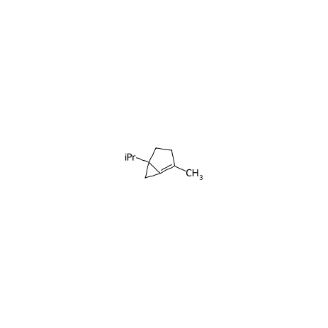 CC1=C2CC2(C(C)C)CC1